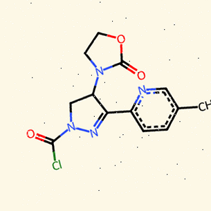 Cc1ccc(C2=NN(C(=O)Cl)CC2N2CCOC2=O)nc1